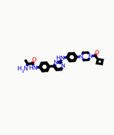 CC(N)C(=O)Nc1ccc(-c2ccnc(Nc3ccc(N4CCN(C(=O)C5CCC5)CC4)cc3)n2)cc1